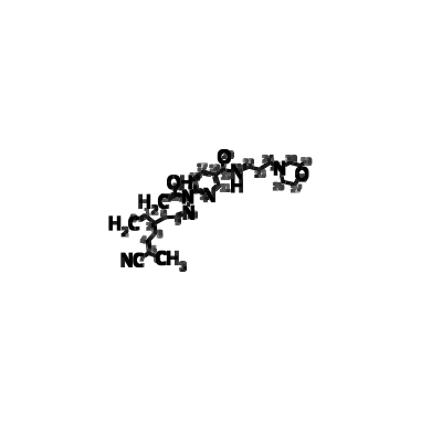 C=C/C(=C\C=C(/C)C#N)C/C=N\N(C(=C)O)c1ccc(C(=O)NCCCN2CCOCC2)cn1